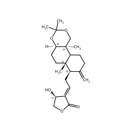 C=C1CCC2[C@]3(C)COC(C)(C)O[C@@H]3CC[C@@]2(C)[C@@H]1C/C=C1/C(=O)OC[C@H]1O